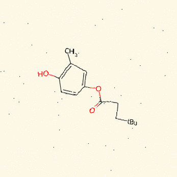 Cc1cc(OC(=O)CCC(C)(C)C)ccc1O